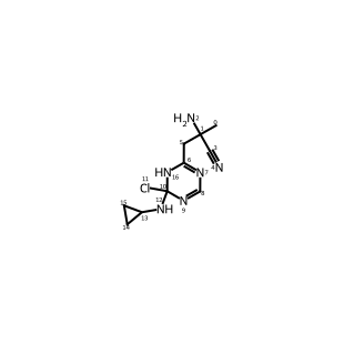 CC(N)(C#N)CC1=NC=NC(Cl)(NC2CC2)N1